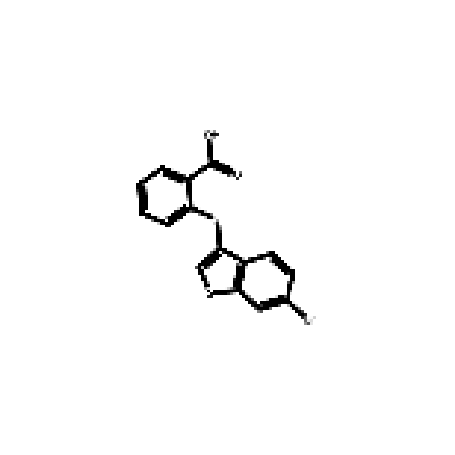 O=C(O)c1ccccc1Sc1csc2cc(Br)ccc12